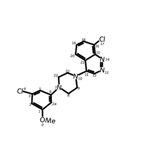 COc1cc(Cl)cc(N2CCN(c3cnnc4c(Cl)cccc34)CC2)c1